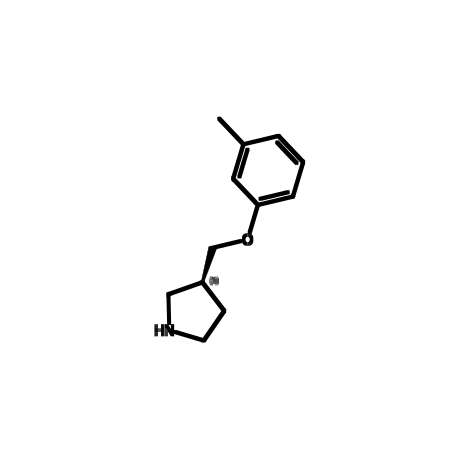 Cc1cccc(OC[C@H]2CCNC2)c1